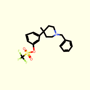 CC1(c2cccc(OS(=O)(=O)C(F)(F)F)c2)CCN(Cc2ccccc2)CC1